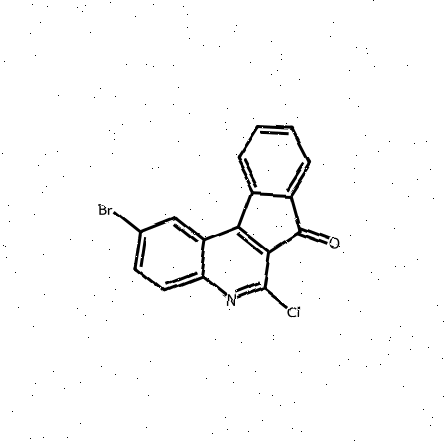 O=C1c2ccccc2-c2c1c(Cl)nc1ccc(Br)cc21